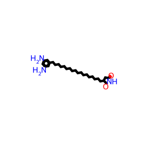 Nc1cc(N)cc(CCCCCCCCCCCCCCCCCCC2CC(=O)NC2=O)c1